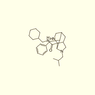 CC(C)CN1CC2CC3CNC2(C(=O)NCC2CCCCC2)C1C3Cc1ccccc1